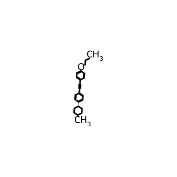 CCCCOc1ccc(C#Cc2ccc([C@H]3CC[C@H](C)CC3)cc2)cc1